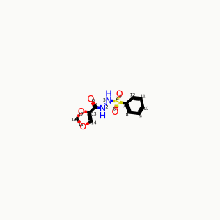 O=C(NNS(=O)(=O)c1ccccc1)C1=COCO1